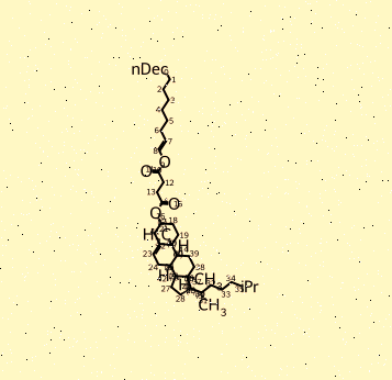 CCCCCCCCCCCCCCCCC=COC(=O)CCC(=O)O[C@H]1CC[C@@]2(C)C(=CC[C@H]3[C@@H]4CC[C@H]([C@H](C)CCCC(C)C)[C@@]4(C)CC[C@@H]32)C1